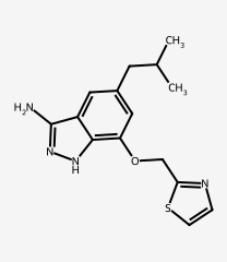 CC(C)Cc1cc(OCc2nccs2)c2[nH]nc(N)c2c1